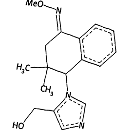 CON=C1CC(C)(C)C(n2cncc2CO)c2ccccc21